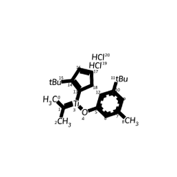 C[C](C)=[Ti]([O]c1cc(C)cc(C(C)(C)C)c1)[C]1=C(C(C)(C)C)C=CC1.Cl.Cl